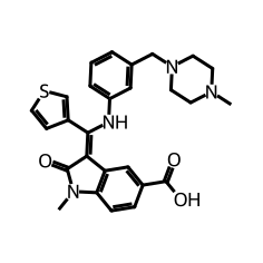 CN1CCN(Cc2cccc(NC(=C3C(=O)N(C)c4ccc(C(=O)O)cc43)c3ccsc3)c2)CC1